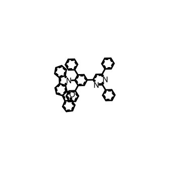 c1ccc(-c2cc(-c3cc(-c4ccccc4)c(-n4c5ccccc5c5ccc6c7ccccc7oc6c54)c(-c4ccccc4)c3)nc(-c3ccccc3)n2)cc1